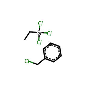 CC[Si](Cl)(Cl)Cl.ClCc1ccccc1